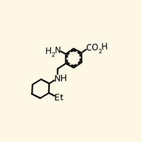 CCC1CCCCC1NCc1ccc(C(=O)O)cc1N